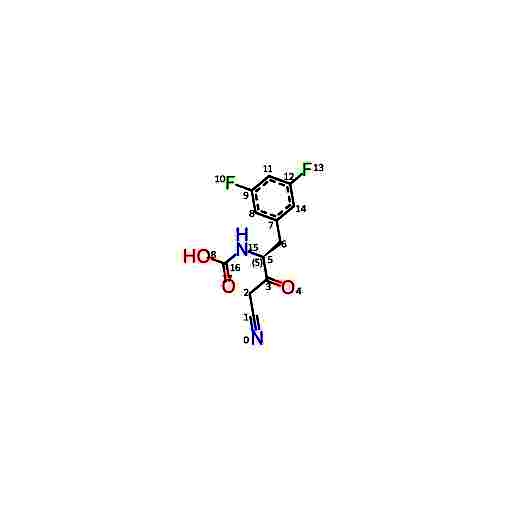 N#CCC(=O)[C@H](Cc1cc(F)cc(F)c1)NC(=O)O